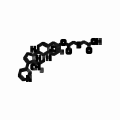 C[C@]12CC[C@H](OC(=O)CSCC(=O)O)CC1=CC[C@@H]1[C@@H]2CC[C@]2(C)C(c3cccnc3)=CC[C@@H]12